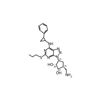 CCCSc1nc(NC2CC2c2ccccc2)c2nnn([C@H]3C[C@@H](CN)[C@H](O)[C@@H]3O)c2n1